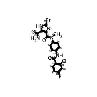 CCc1nc(C(=O)N(C)c2ccc(NC(=O)c3ccc(F)cc3Cl)cc2)c(C(N)=O)[nH]1